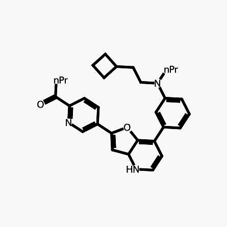 CCCC(=O)c1ccc(C2=CC3NC=CC(c4cccc(N(CCC)CCC5CCC5)c4)=C3O2)cn1